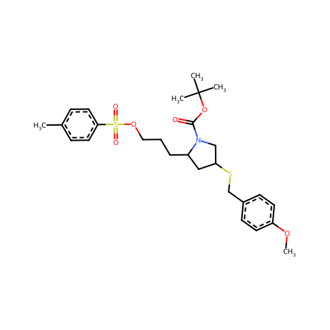 COc1ccc(CSC2CC(CCCOS(=O)(=O)c3ccc(C)cc3)N(C(=O)OC(C)(C)C)C2)cc1